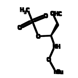 CCCCON[C@H](CC=O)OS(C)(=O)=O